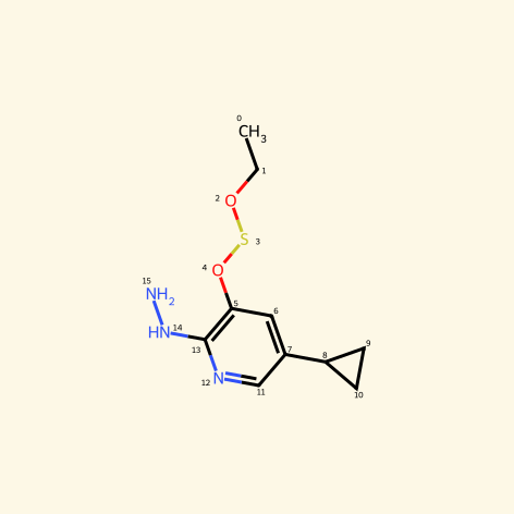 CCOSOc1cc(C2CC2)cnc1NN